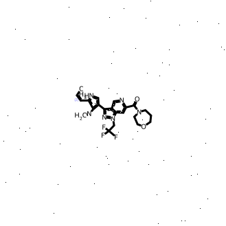 C=Nc1c(-c2nn(CC(F)(F)F)c3cc(C(=O)N4CCCOCC4)ncc23)c[nH]c1/C=C\C